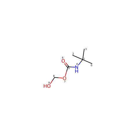 CC(C)(C)NC(=O)OCO